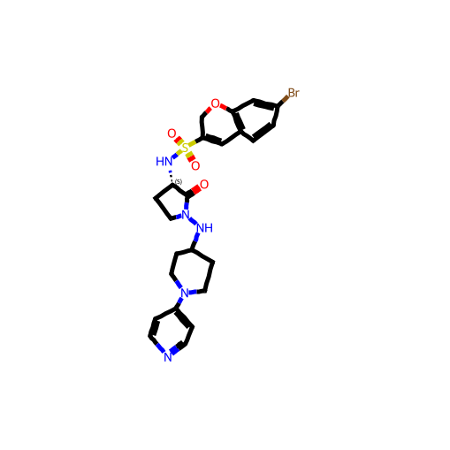 O=C1[C@@H](NS(=O)(=O)C2=Cc3ccc(Br)cc3OC2)CCN1NC1CCN(c2ccncc2)CC1